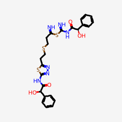 N=C(CCSCCc1nnc(NC(=O)C(O)c2ccccc2)s1)SC(=N)NC(=O)[C@H](O)c1ccccc1